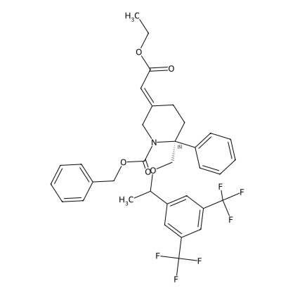 CCOC(=O)C=C1CC[C@@](COC(C)c2cc(C(F)(F)F)cc(C(F)(F)F)c2)(c2ccccc2)N(C(=O)OCc2ccccc2)C1